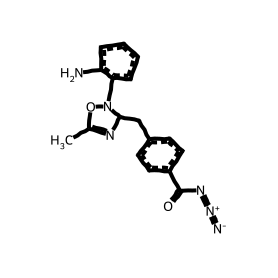 CC1=NC(Cc2ccc(C(=O)N=[N+]=[N-])cc2)N(c2ccccc2N)O1